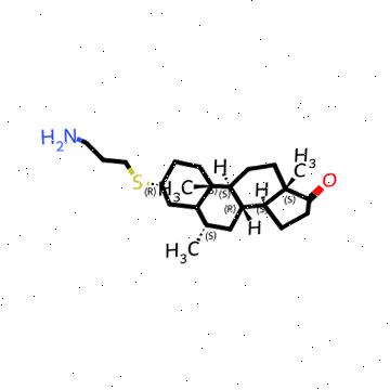 C[C@H]1C[C@@H]2[C@H](CC[C@]3(C)C(=O)CC[C@@H]23)[C@@]2(C)CC[C@@H](SCCCN)CC12